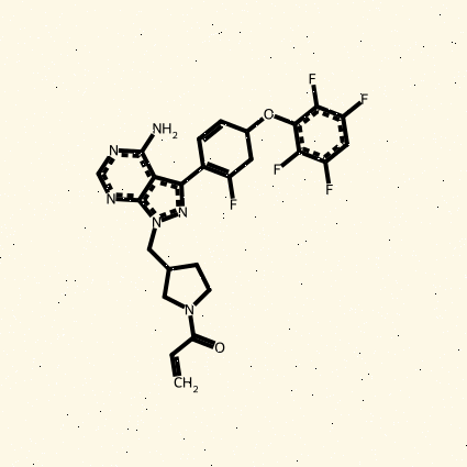 C=CC(=O)N1CCC(Cn2nc(C3=C(F)CC(Oc4c(F)c(F)cc(F)c4F)C=C3)c3c(N)ncnc32)C1